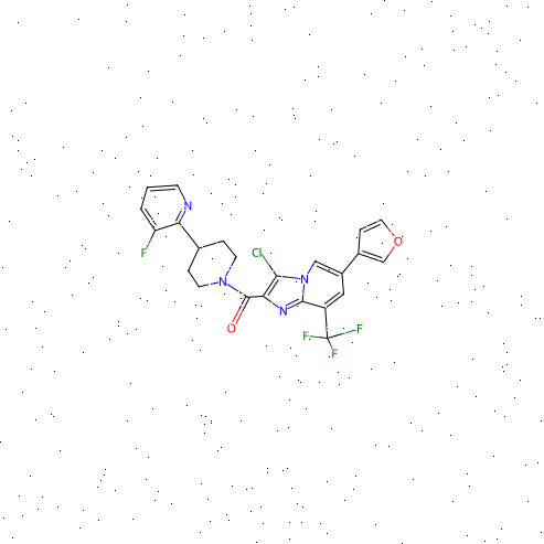 O=C(c1nc2c(C(F)(F)F)cc(-c3ccoc3)cn2c1Cl)N1CCC(c2ncccc2F)CC1